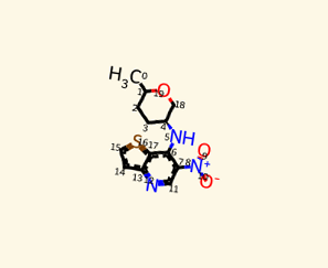 CC1CC[C@H](Nc2c([N+](=O)[O-])cnc3ccsc23)CO1